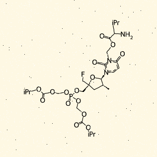 CC(C)OC(=O)OCOP(=O)(OCOC(=O)OC(C)C)OC[C@]1(CF)C[C@H](C)[C@H](n2ccc(=O)n(COC(=O)C(N)C(C)C)c2=O)O1